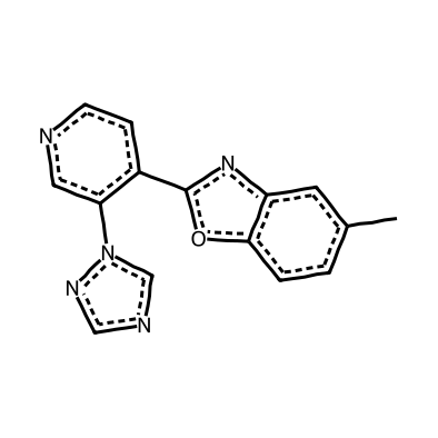 Cc1ccc2oc(-c3ccncc3-n3cncn3)nc2c1